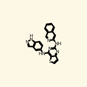 c1ccc2cc(Nc3nc(Nc4ccc5[nH]ncc5c4)c4sccc4n3)ncc2c1